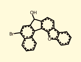 OC1c2cc(Br)c3ccccc3c2-c2c1ccc1c2oc2ccccc21